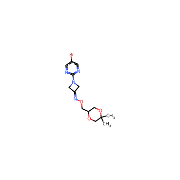 CC1(C)COC(CON=C2CN(c3ncc(Br)cn3)C2)CO1